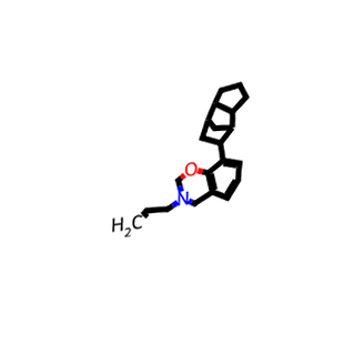 C=CCN1COc2c(cccc2C2CC3CC2C2CCCC32)C1